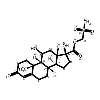 C[C@]12CCC(=O)C=C1CC[C@@H]1[C@H]2C(O)C[C@@]2(C)[C@H]1CCC2(O)C(=O)OCS(C)(=O)=O